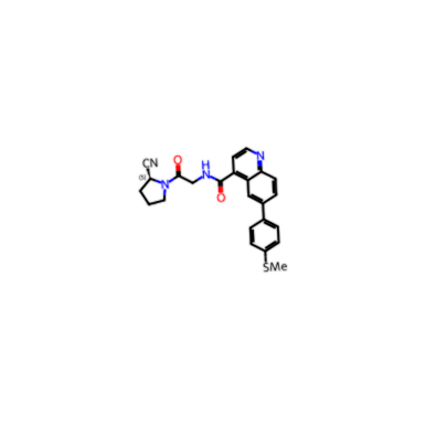 CSc1ccc(-c2ccc3nccc(C(=O)NCC(=O)N4CCC[C@H]4C#N)c3c2)cc1